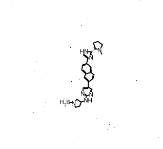 BN1CCC(Nc2ncc(-c3ccc4cc(-c5c[nH]c([C@@H]6CCCN6C)n5)ccc4c3)cn2)C1